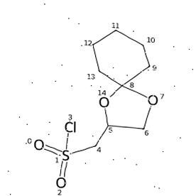 O=S(=O)(Cl)CC1COC2(CCCCC2)O1